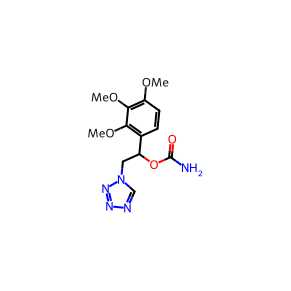 COc1ccc(C(Cn2cnnn2)OC(N)=O)c(OC)c1OC